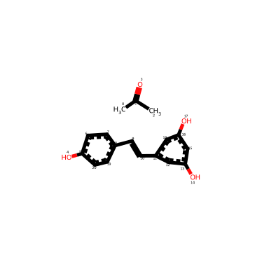 CC(C)=O.Oc1ccc(C=Cc2cc(O)cc(O)c2)cc1